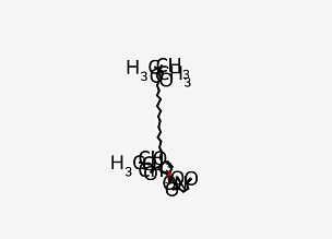 CC(C)(C)OC(=O)CCCCCCCCCCCCCCOc1ccc(C(=O)ON2C(=O)CCC2=O)cc1C(=O)OC(C)(C)C